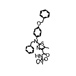 Cc1sc(N(Cc2ccccc2)c2ccc(OCc3ccccc3)cc2)nc1C(=O)NS(C)(=O)=O